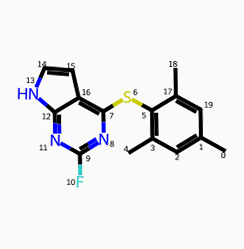 Cc1cc(C)c(Sc2nc(F)nc3[nH]ccc23)c(C)c1